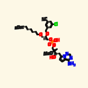 CCCCCCCCCCCCCCCCOC[C@@H](COP(=O)(O)OC[C@@](C)(OC)[C@@H](O)Cc1ccc2c(N)ncnn12)OCc1cc(Cl)cc(C#N)c1